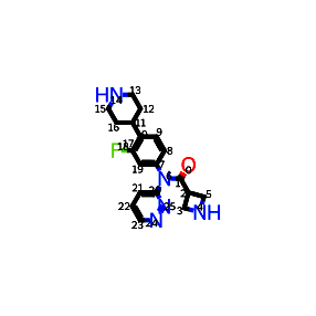 O=C(C1CNC1)N(c1ccc(C2CCNCC2)c(F)c1)c1cccnn1